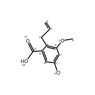 C=CCc1c(OC)cc(Cl)cc1C(=O)O